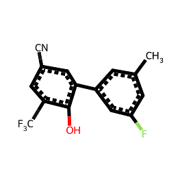 Cc1cc(F)cc(-c2cc(C#N)cc(C(F)(F)F)c2O)c1